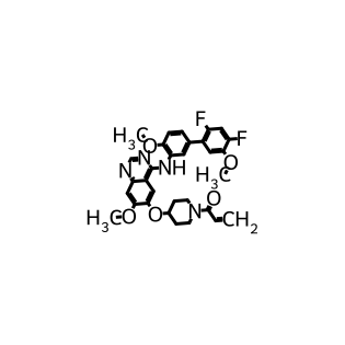 C=CC(=O)N1CCC(Oc2cc3c(Nc4cc(-c5cc(OC)c(F)cc5F)ccc4OC)ncnc3cc2OC)CC1